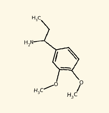 CCC(N)c1ccc(OC)c(OC)c1